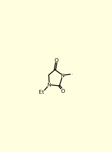 [CH2]N1C(=O)CN(CC)C1=O